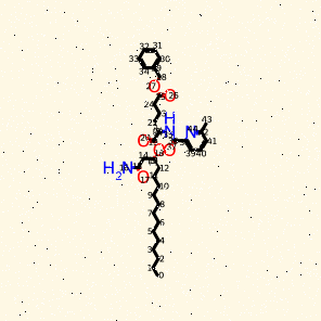 CCCCCCCCCCCCC[C@@H](CC(N)=O)OC(=O)[C@H](CCCC(=O)OCc1ccccc1)NC(=O)c1cccc(C)n1